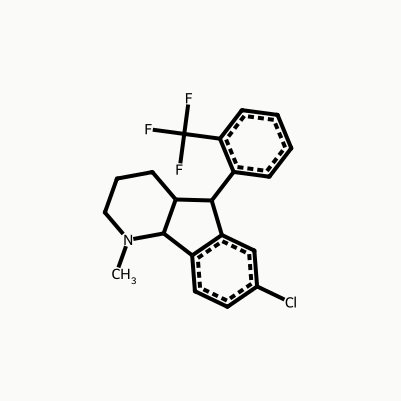 CN1CCCC2C(c3ccccc3C(F)(F)F)c3cc(Cl)ccc3C21